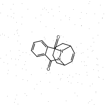 O=c1c2ccccc2c(=O)n2n1C1C=CC2CCCC1